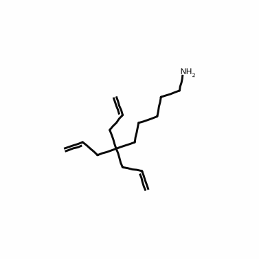 C=CCC(CC=C)(CC=C)CCCCCN